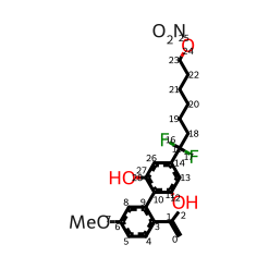 C=C(C)c1ccc(OC)cc1-c1c(O)cc(C(F)(F)CCCCCCO[N+](=O)[O-])cc1O